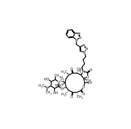 CCC1OC(=O)[C@H](C)C(=O)[C@H](C)[C@@H](OC2OC(C)C(O)C(N(C)C)C2O)[C@@](C)(OC)C[C@@H](C)C(=O)[C@H](C)[C@H]2N(CCCCn3cc(Cn4nnc5ccccc54)nn3)C(=O)O[C@]12C